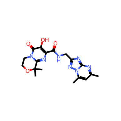 Cc1cc(C)n2nc(CNC(=O)c3nc4n(c(=O)c3O)CCOC4(C)C)nc2n1